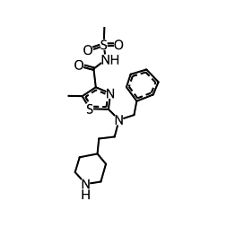 Cc1sc(N(CCC2CCNCC2)Cc2ccccc2)nc1C(=O)NS(C)(=O)=O